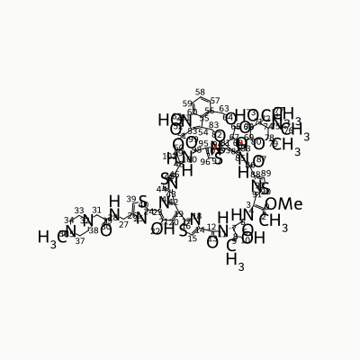 CO/C(C)=C1/NC(=O)[C@H]([C@@H](C)O)NC(=O)c2csc(n2)-c2cc(O)c(-c3nc(CNC(=O)CN4CCN(C)CC4)cs3)nc2-c2csc(n2)[C@@H]2COC(=O)c3c4c5c(cccc5n3O)COC(=O)[C@@H](O[C@H]3C[C@](C)(O)[C@H](N(C)C)[C@H](C)O3)[C@@H](OC4)[C@H](NC(=O)c3csc1n3)c1nc(cs1)C(=O)N2